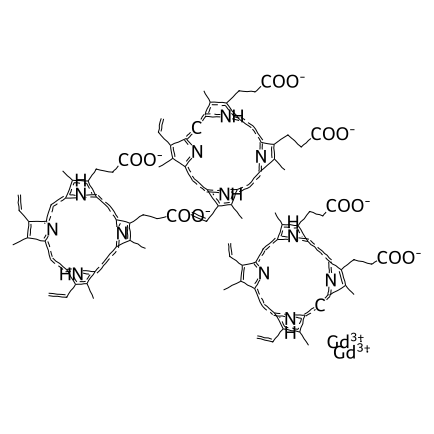 C=CC1=C(C)c2cc3[nH]c(cc4nc(cc5[nH]c(cc1n2)c(C)c5CCC(=O)[O-])C(CCC(=O)[O-])=C4C)c(C)c3C=C.C=CC1=C(C)c2cc3[nH]c(cc4nc(cc5[nH]c(cc1n2)c(C)c5CCC(=O)[O-])C(CCC(=O)[O-])=C4C)c(C)c3C=C.C=CC1=C(C)c2cc3[nH]c(cc4nc(cc5[nH]c(cc1n2)c(C)c5CCC(=O)[O-])C(CCC(=O)[O-])=C4C)c(C)c3C=C.[Gd+3].[Gd+3]